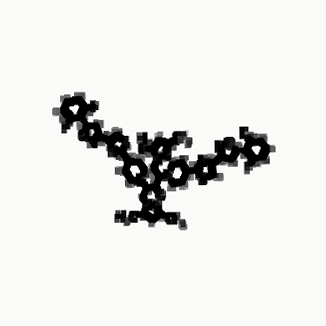 Cc1cc(C(F)(F)F)nn1CC(C(=O)C(Cn1nc(C(F)(F)F)cc1C)N1CCC(c2nc(C3=NO[C@@H](c4c(F)cccc4F)C3)cs2)CC1)N1CCC(c2nc(C3=NO[C@@H](c4c(F)cccc4F)C3)cs2)CC1